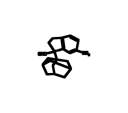 O=C[N+]1(C23CC4CC(CC(C4)C2)C3)CCc2ccc([N+](=O)[O-])cc21